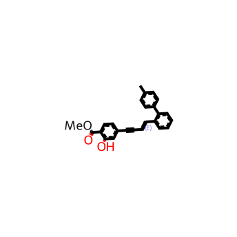 COC(=O)c1ccc(C#C/C=C/c2ccccc2-c2ccc(C)cc2)cc1O